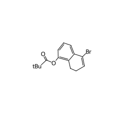 CC(C)(C)C(=O)Oc1cccc2c1CCC=C2Br